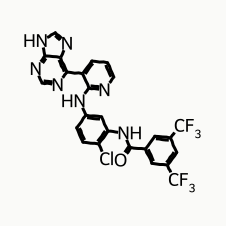 O=C(Nc1cc(Nc2ncccc2-c2ncnc3[nH]cnc23)ccc1Cl)c1cc(C(F)(F)F)cc(C(F)(F)F)c1